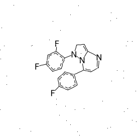 Fc1ccc(C2=CC=NC3=CCN(c4ccc(F)cc4F)N32)cc1